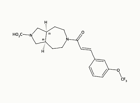 O=C(O)N1C[C@H]2CCN(C(=O)C=Cc3cccc(OC(F)(F)F)c3)CC[C@H]2C1